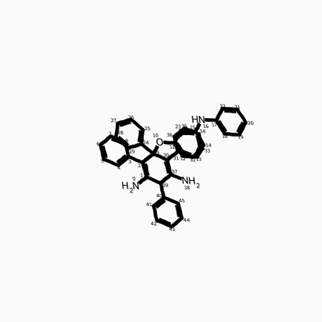 NC1=C(c2ccccc2)C(Oc2cccc(Nc3ccccc3)c2)(c2ccccc2)C(c2ccccc2)=C(N)C1c1ccccc1